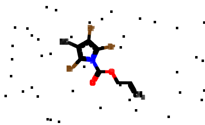 C=CCOC(=O)n1c(Br)c(Br)c(C#N)c1Br